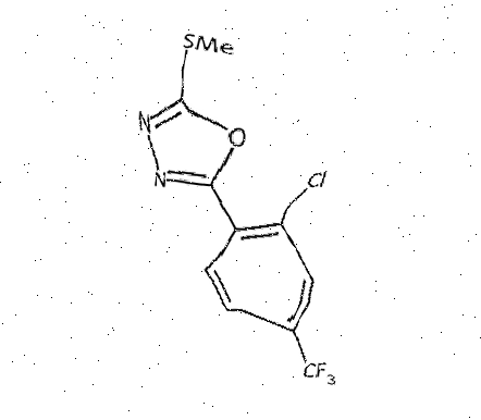 CSc1nnc(-c2ccc(C(F)(F)F)cc2Cl)o1